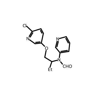 [CH2]CC(COc1ccc(Cl)nc1)N(C=O)c1cccnc1